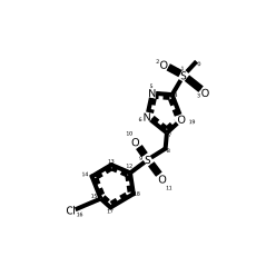 CS(=O)(=O)c1nnc(CS(=O)(=O)c2ccc(Cl)cc2)o1